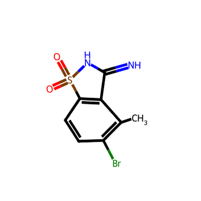 Cc1c(Br)ccc2c1C(=N)NS2(=O)=O